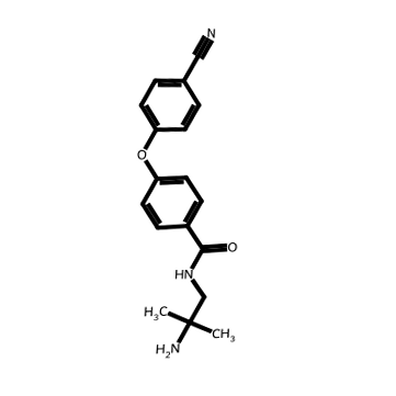 CC(C)(N)CNC(=O)c1ccc(Oc2ccc(C#N)cc2)cc1